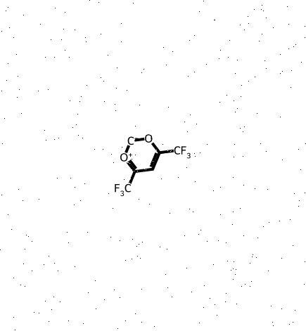 FC(F)(F)C1=CC(C(F)(F)F)=[O+][CH-]O1